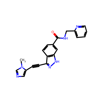 Cn1cncc1C#Cc1n[nH]c2cc(C(=O)NCc3ccccn3)ccc12